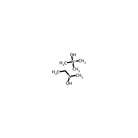 CCN(C)O.C[N+](C)(C)O